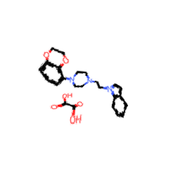 O=C(O)C(=O)O.c1cc2c(c(N3CCN(CCn4ccc5ccccc54)CC3)c1)OCCO2